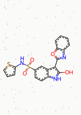 O=S(=O)(Nc1cccs1)c1ccc2[nH]c(O)c(-c3nc4ccccc4o3)c2c1